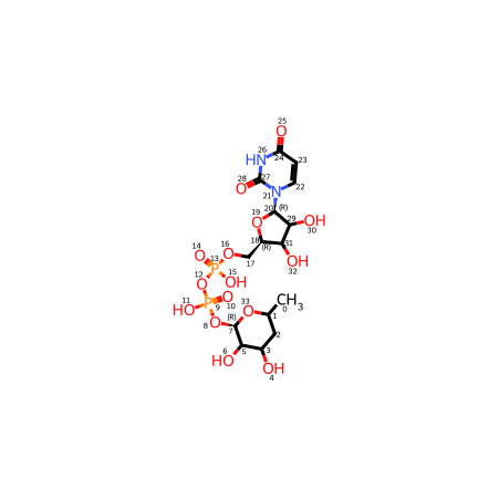 CC1CC(O)C(O)[C@@H](OP(=O)(O)OP(=O)(O)OC[C@H]2O[C@@H](n3ccc(=O)[nH]c3=O)C(O)C2O)O1